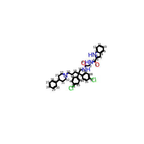 O=C(CNC(=O)c1cc2ccccc2[nH]1)NCC(CCCN1CCC(c2ccccc2)CC1)(c1ccc(Cl)cc1)c1ccc(Cl)cc1